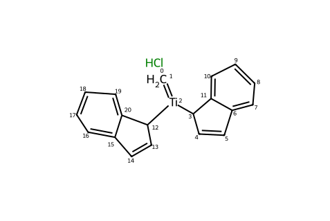 Cl.[CH2]=[Ti]([CH]1C=Cc2ccccc21)[CH]1C=Cc2ccccc21